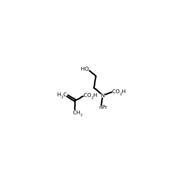 C=C(C)C(=O)O.CCCN(CCO)C(=O)O